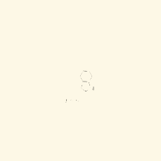 CCOc1ccc2[nH]cc(C[C@H](N)C=O)c2c1